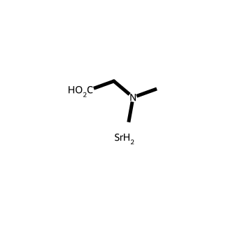 CN(C)CC(=O)O.[SrH2]